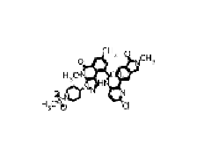 Cc1cc(C(C)Nc2ccc(Cl)nc2-c2ccc3c(c2)CN(C)C3=O)c2c(c1)c(=O)n(C)c1c2cnn1C1CCN(S(C)(=O)=O)CC1